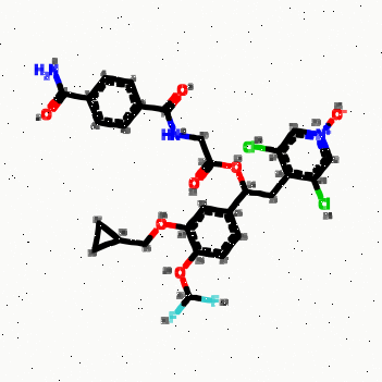 NC(=O)c1ccc(C(=O)NCC(=O)OC(Cc2c(Cl)c[n+]([O-])cc2Cl)c2ccc(OC(F)F)c(OCC3CC3)c2)cc1